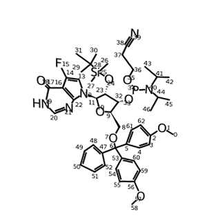 COc1ccc(C(OC[C@H]2O[C@@H](n3cc(F)c4c(=O)[nH]cnc43)[C@H](O[Si](C)(C)C(C)(C)C)[C@@H]2OP(OCCC#N)N(C(C)C)C(C)C)(c2ccccc2)c2ccc(OC)cc2)cc1